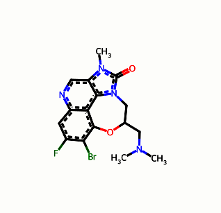 CN(C)CC1Cn2c(=O)n(C)c3cnc4cc(F)c(Br)c(c4c32)O1